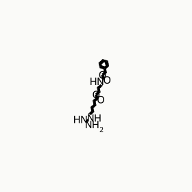 N=C(N)NCCCCCC(=O)OCCCNC(=O)OCc1ccccc1